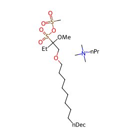 CCCCCCCCCCCCCCCCCCOCC(CC)(OC)S(=O)(=O)OS(C)(=O)=O.CCC[N+](C)(C)C